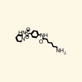 NCCCCCC(=O)Nc1ccc(S(=O)(=O)Nc2ccccn2)cc1